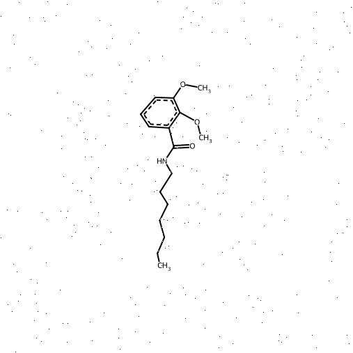 CCCCCCCNC(=O)c1cccc(OC)c1OC